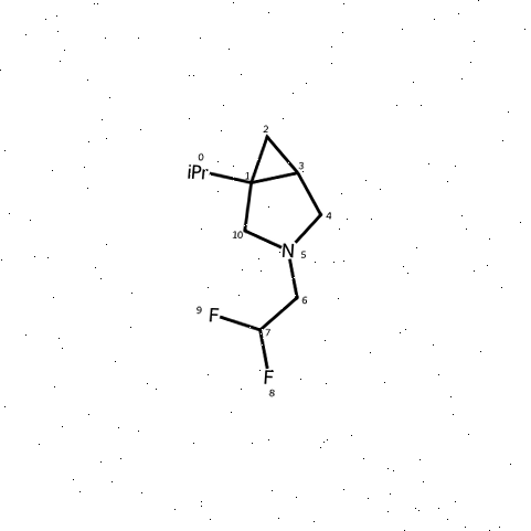 CC(C)C12CC1CN(CC(F)F)C2